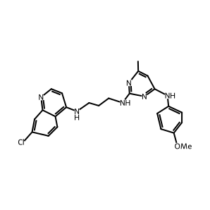 COc1ccc(Nc2cc(C)nc(NCCCNc3ccnc4cc(Cl)ccc34)n2)cc1